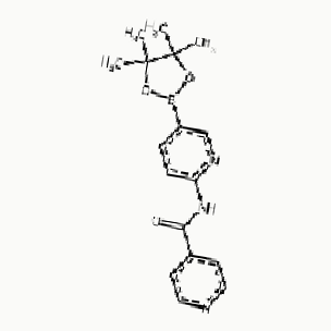 CC1(C)OB(c2ccc(NC(=O)c3ccncc3)nc2)OC1(C)C